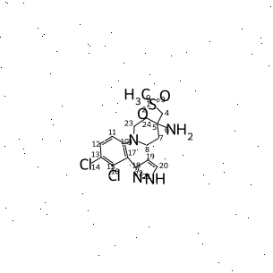 CS(=O)(=O)CC1(N)CCN(c2ccc(Cl)c(Cl)c2-c2cc[nH]n2)CC1